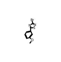 COc1cccc(-c2nc(Br)ns2)c1